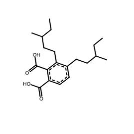 CCC(C)CCc1ccc(C(=O)O)c(C(=O)O)c1CCC(C)CC